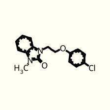 Cn1c(=O)n(CCOc2ccc(Cl)cc2)c2ccccc21